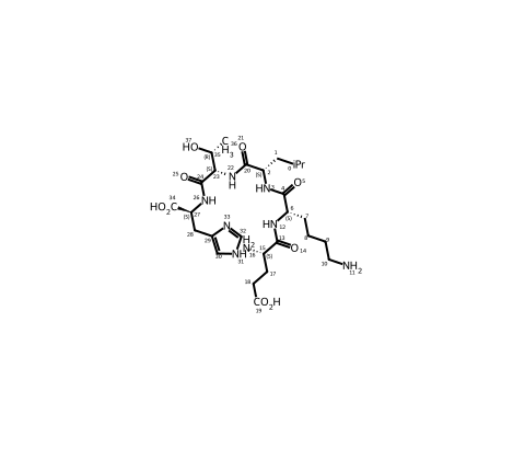 CC(C)C[C@H](NC(=O)[C@H](CCCCN)NC(=O)[C@@H](N)CCC(=O)O)C(=O)N[C@H](C(=O)N[C@@H](Cc1c[nH]cn1)C(=O)O)[C@@H](C)O